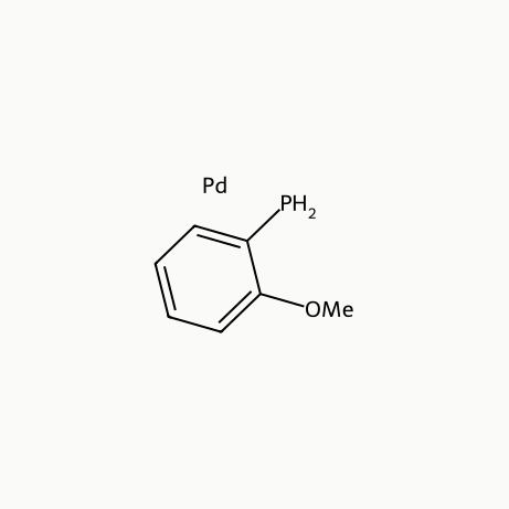 COc1ccccc1P.[Pd]